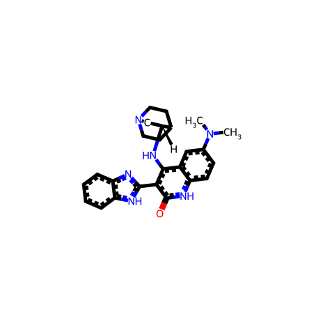 CN(C)c1ccc2[nH]c(=O)c(-c3nc4ccccc4[nH]3)c(N[C@@H]3CN4CCC3CC4)c2c1